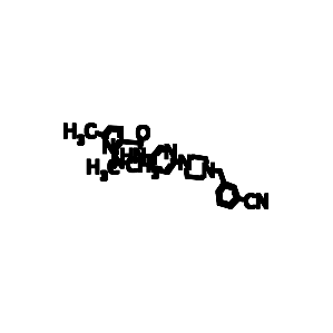 Cc1ccc(C(=O)Nc2ccc(N3CCN(Cc4cccc(C#N)c4)CC3)nc2)c(N(C)C)n1